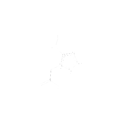 C=C(C)Cn1nnnc1SCC